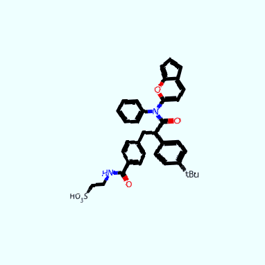 CC(C)(C)c1ccc(C(Cc2ccc(C(=O)NCCS(=O)(=O)O)cc2)C(=O)N(c2ccccc2)c2ccc3cccc-3o2)cc1